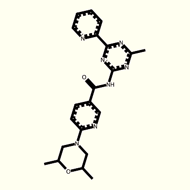 Cc1nc(NC(=O)c2ccc(N3CC(C)OC(C)C3)nc2)nc(-c2ccccn2)n1